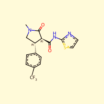 CN1C[C@@H](c2ccc(C(F)(F)F)cc2)[C@H](C(=O)Nc2nccs2)C1=O